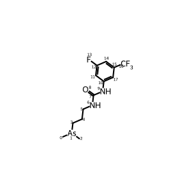 C[As](C)CCCNC(=O)Nc1cc(F)cc(C(F)(F)F)c1